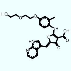 Cc1cc(OCCOCCO)ccc1NC1=C(C(=O)O)C(=O)C(=Cc2c[nH]c3ncccc23)O1